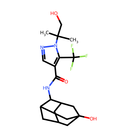 CC(C)(CO)n1ncc(C(=O)NC2C3CC4CC2CC(O)(C4)C3)c1C(F)(F)F